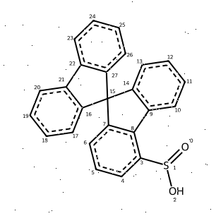 O=S(O)c1cccc2c1-c1ccccc1C21c2ccccc2-c2ccccc21